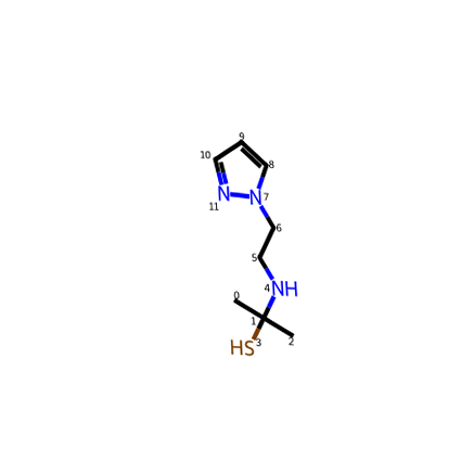 CC(C)(S)NCCn1cccn1